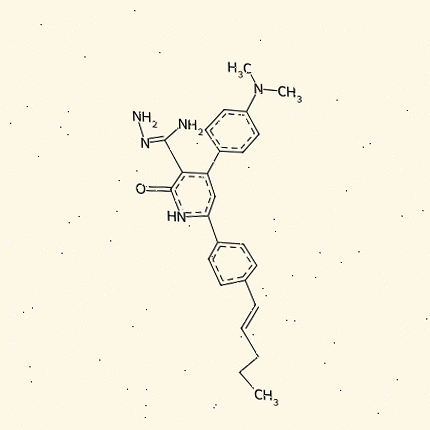 CCC/C=C/c1ccc(-c2cc(-c3ccc(N(C)C)cc3)c(/C(N)=N/N)c(=O)[nH]2)cc1